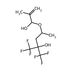 C=C(C)C(O)OC(C)CC(O)(C(F)(F)F)C(F)(F)F